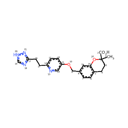 CC1(C(=O)O)CCc2ccc(COc3ccc(CCc4nc[nH]n4)nc3)cc2O1